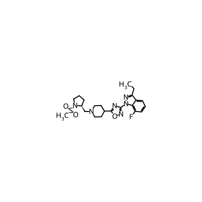 CCc1nn(-c2noc(C3CCN(C[C@@H]4CCCN4S(C)(=O)=O)CC3)n2)c2c(F)cccc12